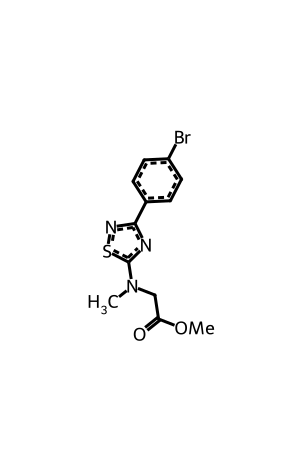 COC(=O)CN(C)c1nc(-c2ccc(Br)cc2)ns1